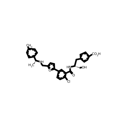 Cc1ccc([C@@H](C)NCc2ccc(-c3ccc(Cl)c(C(=O)N[C@@H](CO)Cc4ccc(C(=O)O)cc4)c3)o2)cc1